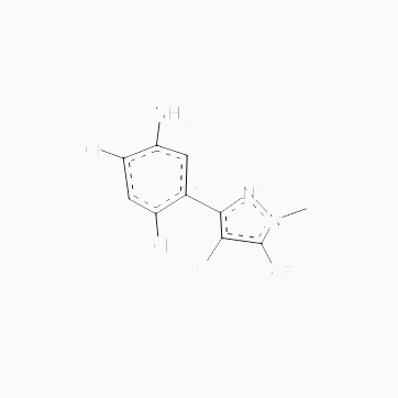 Cn1nc(-c2cc(N)c(Cl)cc2Cl)c(C(F)(F)F)c1C(F)(F)F